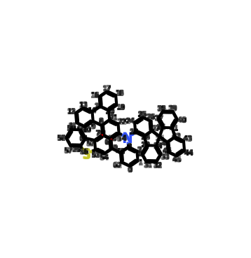 c1ccc(N(c2ccc3c4ccccc4c4ccccc4c3c2)c2cccc3c2-c2ccccc2C32c3ccccc3-c3ccccc32)c(-c2ccc3c(c2)sc2ccccc23)c1